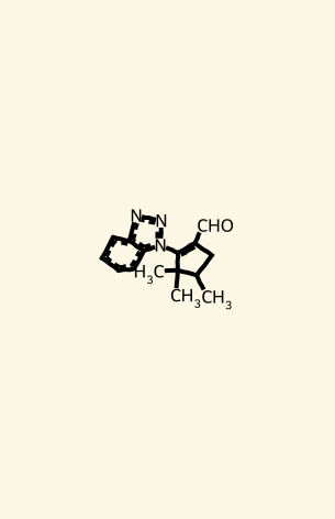 CC1CC(C=O)=C(n2nnc3ccccc32)C1(C)C